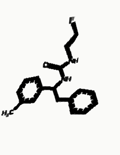 Cc1cccc(C(Cc2ccccc2)NC(=O)NCCF)c1